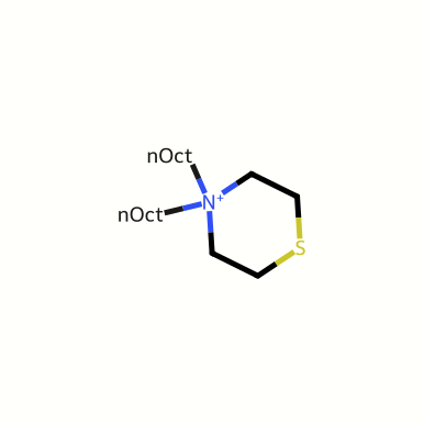 CCCCCCCC[N+]1(CCCCCCCC)CCSCC1